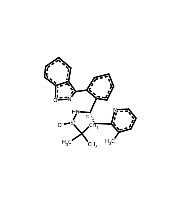 Cc1cccnc1C[C@H](N[S+]([O-])C(C)(C)C)c1ccccc1-c1noc2ccccc12